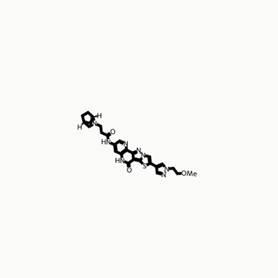 COCCn1cc(-c2cn3nc4c5ncc(NC(=O)CCN6C[C@@H]7CC[C@H]6C7)cc5[nH]c(=O)c4c3s2)cn1